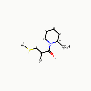 CCC(CSC(C)=O)C(=O)N1CCCCC1C(=O)O